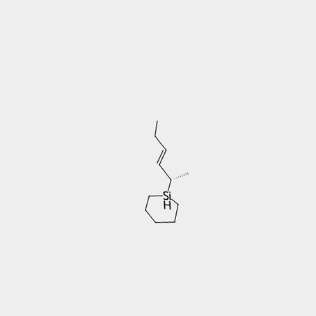 CC/C=C/[C@H](C)[SiH]1CCCCC1